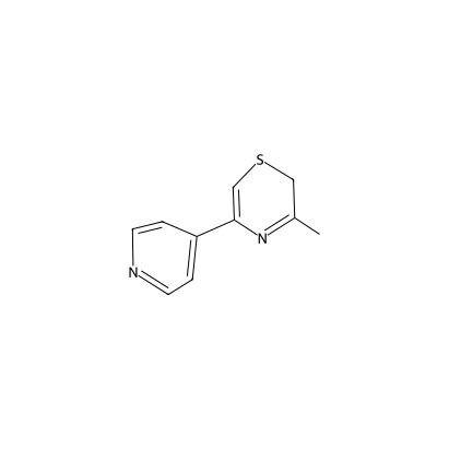 CC1=NC(c2ccncc2)=CSC1